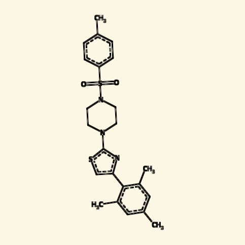 Cc1ccc(S(=O)(=O)N2CCN(c3nc(-c4c(C)cc(C)cc4C)cs3)CC2)cc1